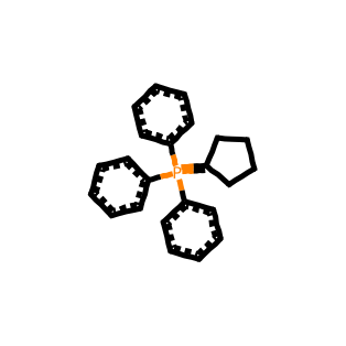 c1ccc(P(=C2CCCC2)(c2ccccc2)c2ccccc2)cc1